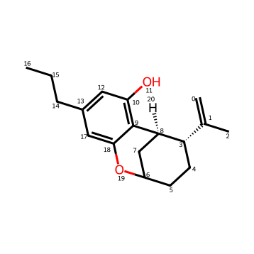 C=C(C)[C@@H]1CCC2C[C@H]1c1c(O)cc(CCC)cc1O2